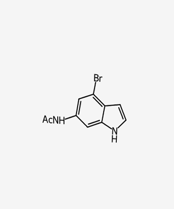 CC(=O)Nc1cc(Br)c2cc[nH]c2c1